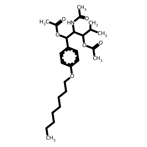 CCCCCCCCOc1ccc(C(OC(C)=O)C(NC(C)=O)C(OC(C)=O)C(C)C)cc1